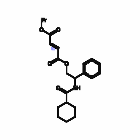 CC(C)OC(=O)/C=C/C(=O)OCC(NC(=O)C1CCCCC1)c1ccccc1